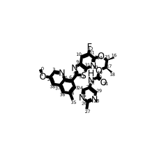 COc1cnc2c(-c3nc4cc(F)c(O[C@@H](C)[C@@H](C)OC(=O)Nc5cnc(C)nc5)nc4s3)cc(C)cc2c1